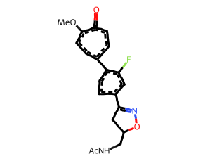 COc1ccc(-c2ccc(C3=NOC(CNC(C)=O)C3)cc2F)ccc1=O